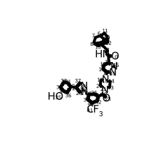 O=C(NCC12CC3CC(CC(C3)C1)C2)c1ccc(N2CCN(C(=O)c3cc(-n4cc(-c5cccc(O)c5)cn4)cc(C(F)(F)F)c3)CC2)nn1